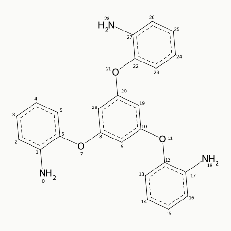 Nc1ccccc1Oc1cc(Oc2ccccc2N)cc(Oc2ccccc2N)c1